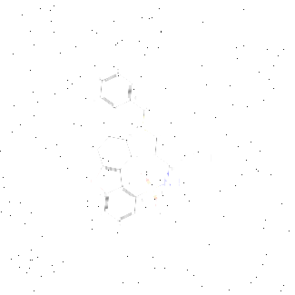 O=C(O)[C@@H](CCSCc1ccccc1)NS(=O)(=O)c1cccc2oc3c(c12)CCCC3